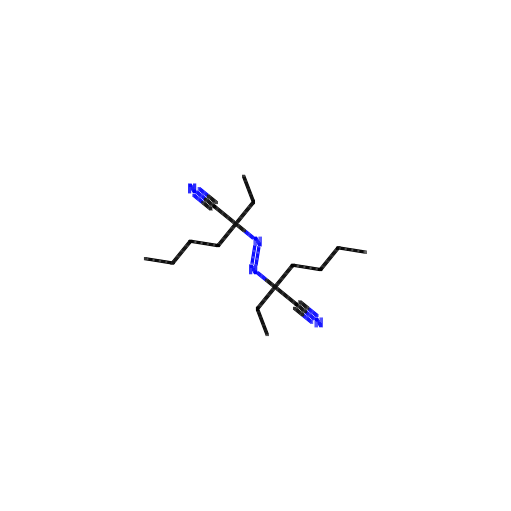 CCCCC(C#N)(CC)/N=N/C(C#N)(CC)CCCC